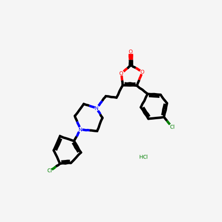 Cl.O=c1oc(CCN2CCN(c3ccc(Cl)cc3)CC2)c(-c2ccc(Cl)cc2)o1